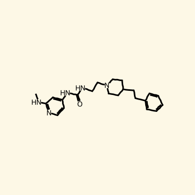 CNc1cc(NC(=O)NCCN2CCC(CCc3ccccc3)CC2)ccn1